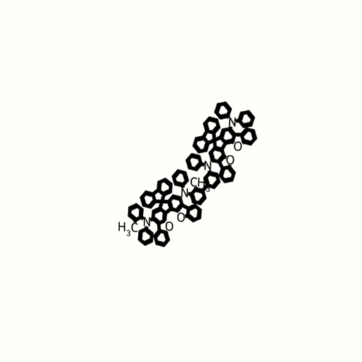 Cc1ccccc1N(c1ccccc1)c1cc2c(c3oc4ccccc4c13)-c1c(cc(N(c3ccccc3)c3cccc(-c4cccc(N(c5ccccc5)c5cc6c(c7oc8ccccc8c57)-c5c(cc(N(c7ccccc7)c7ccccc7)c7c5oc5ccccc57)C65c6ccccc6-c6ccccc65)c4)c3C)c3c1oc1ccccc13)C21c2ccccc2-c2ccccc21